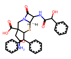 NC(=O)CC1(C(=O)O)CN2C(=O)C(NC(=O)C(O)c3ccccc3)[C@H]2SC1C(c1ccccc1)c1ccccc1